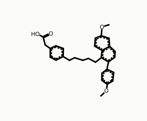 COc1ccc(-c2ccc3cc(OC)ccc3c2CCCCCc2ccc(CC(=O)O)cc2)cc1